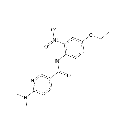 CCOc1ccc(NC(=O)c2ccc(N(C)C)nc2)c([N+](=O)[O-])c1